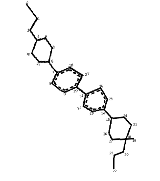 CCCC1CCC(c2ccc(-c3ccc(C4CCC(C)(CCC)CC4)cc3)cc2)CC1